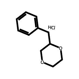 Cl.c1ccc(CC2COCCO2)cc1